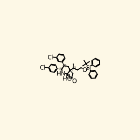 C[C@@H](CCO[Si](c1ccccc1)(c1ccccc1)C(C)(C)C)[C@@]1(CC(=O)O)C[C@H](c2cccc(Cl)c2)[C@@H](c2ccc(Cl)cc2)NC1=O